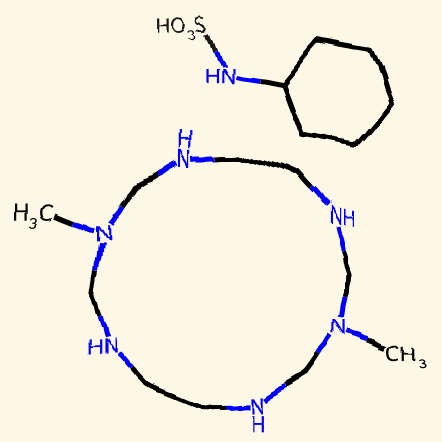 CN1CNCCNCN(C)CNCCNC1.O=S(=O)(O)NC1CCCCC1